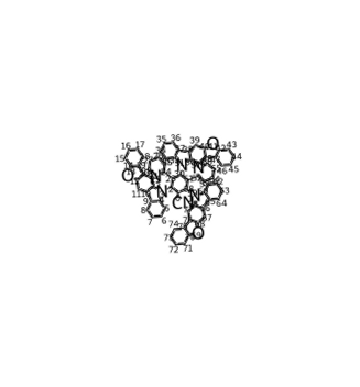 N#Cc1c(-n2c3ccccc3c3cc4oc5ccccc5c4cc32)c(-c2ccccn2)c(-n2c3ccccc3c3cc4oc5ccccc5c4cc32)c(-c2ccccn2)c1-n1c2ccccc2c2cc3oc4ccccc4c3cc21